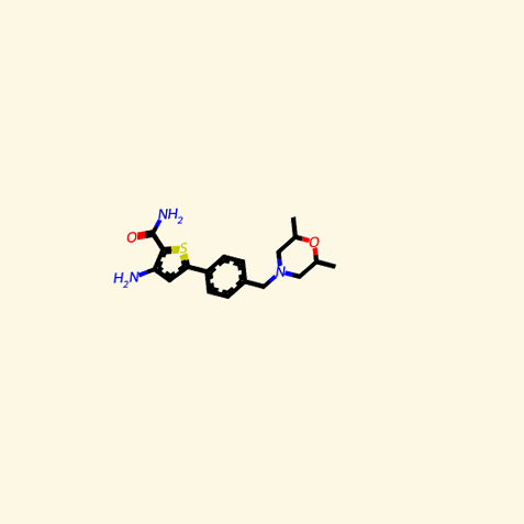 CC1CN(Cc2ccc(-c3cc(N)c(C(N)=O)s3)cc2)CC(C)O1